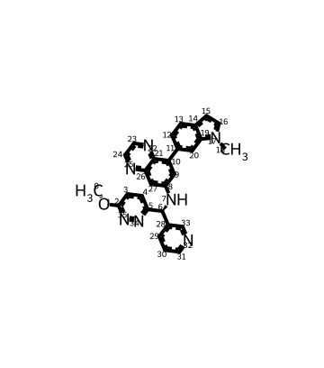 COc1ccc([C@@H](Nc2cc(-c3ccc4ccn(C)c4c3)c3nccnc3c2)c2cccnc2)nn1